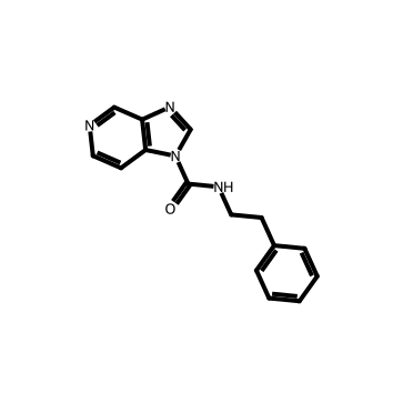 O=C(NCCc1ccccc1)n1cnc2cnccc21